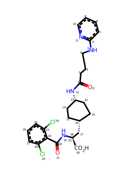 O=C(CCCNc1ccccn1)N[C@H]1CC[C@@H](C[C@H](NC(=O)c2c(Cl)cccc2Cl)C(=O)O)CC1